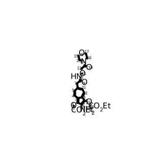 CCOC(=O)Oc1c2ccc(CC(=O)NOCC(=O)N3CCOCC3)ccc-2c(OC(=O)OCC)c1N